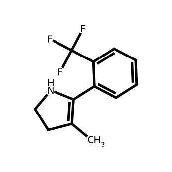 CC1=C(c2ccccc2C(F)(F)F)NCC1